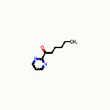 CCCCCC(=O)c1ncccn1